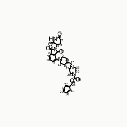 O=C1CCC(N2C(=O)c3cccc(N4CCC(CN5CCN(C(=O)OCc6ccccc6)CC5)CC4)c3C2=O)C(=O)N1